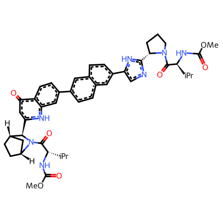 COC(=O)N[C@H](C(=O)N1CCC[C@H]1c1ncc(-c2ccc3cc(-c4ccc5c(=O)cc([C@@H]6[C@H]7CC[C@H](C7)N6C(=O)[C@@H](NC(=O)OC)C(C)C)[nH]c5c4)ccc3c2)[nH]1)C(C)C